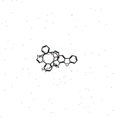 CN1C=CN2c3c(ccc4c3oc3ccccc34)C3(c4ccccc4N4C=CN5CCCN6C=CN(c7ccccc7C54)C63)C12